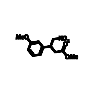 COC(=O)CC(C[N+](=O)[O-])c1cccc(OC)c1